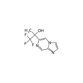 CC(O)(c1cn2ccnc2cn1)C(F)(F)F